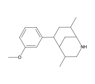 COc1cccc(C2CC(C)C3CC2C(C)CN3)c1